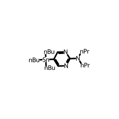 CCC[CH2][Sn]([CH2]CCC)([CH2]CCC)[c]1cnc(N(CCC)CCC)nc1